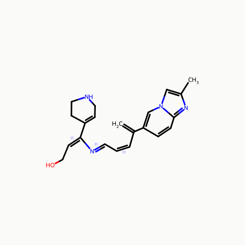 C=C(\C=C/C=N/C(=C\CO)C1=CCNCC1)c1ccc2nc(C)cn2c1